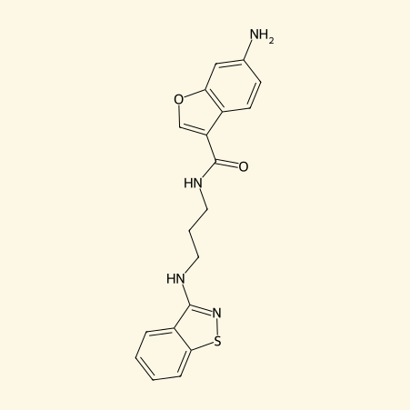 Nc1ccc2c(C(=O)NCCCNc3nsc4ccccc34)coc2c1